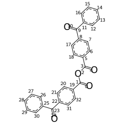 O=C(OC(=O)c1ccc(C(=O)c2ccccc2)cc1)c1ccc(C(=O)c2ccccc2)cc1